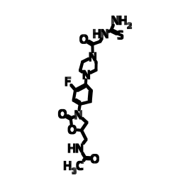 CC(=O)NCC1CN(c2ccc(N3CCN(C(=O)CNC(N)=S)CC3)c(F)c2)C(=O)O1